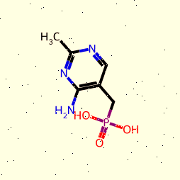 Cc1ncc(CP(=O)(O)O)c(N)n1